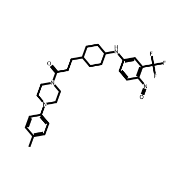 Cc1ccc(N2CCN(C(=O)CCC3CCC(Nc4ccc(N=O)c(C(F)(F)F)c4)CC3)CC2)cc1